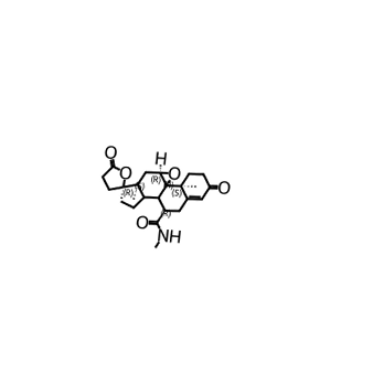 CNC(=O)[C@@H]1CC2=CC(=O)CC[C@]2(C)[C@@]23O[C@@H]2C[C@@]2(C)C(CC[C@@]24CCC(=O)O4)C13